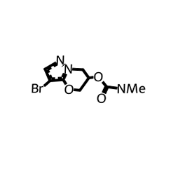 CNC(=O)OC1COc2c(Br)cnn2C1